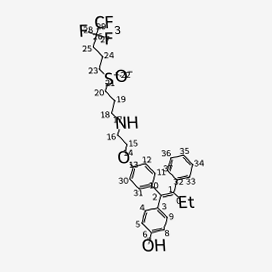 CC/C(=C(\c1ccc(O)cc1)c1ccc(OCCNCCC[S+]([O-])CCCC(F)(F)C(F)(F)F)cc1)c1ccccc1